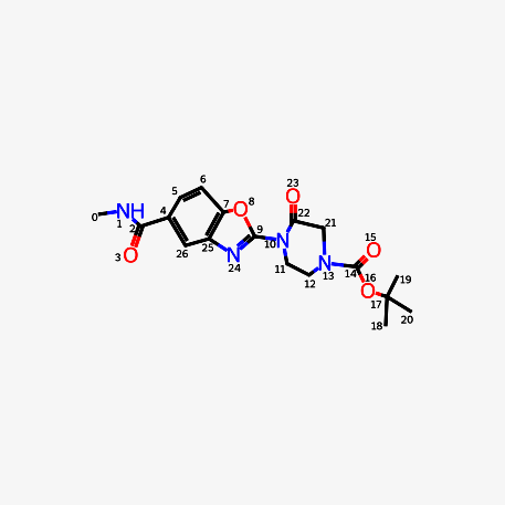 CNC(=O)c1ccc2oc(N3CCN(C(=O)OC(C)(C)C)CC3=O)nc2c1